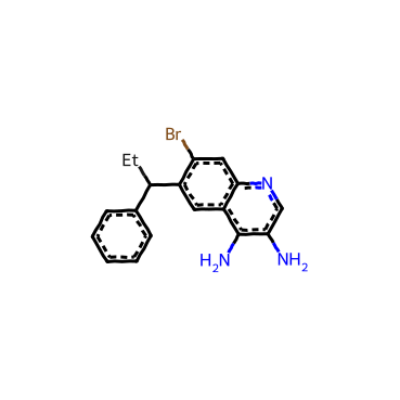 CCC(c1ccccc1)c1cc2c(N)c(N)cnc2cc1Br